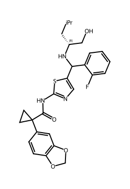 CC(C)C[C@H](CO)NC(c1cnc(NC(=O)C2(c3ccc4c(c3)OCO4)CC2)s1)c1ccccc1F